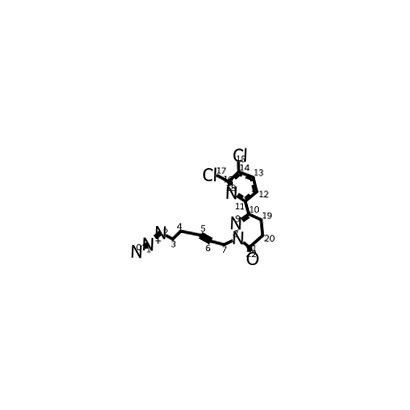 [N-]=[N+]=NCCC#CCN1N=C(c2ccc(Cl)c(Cl)n2)CCC1=O